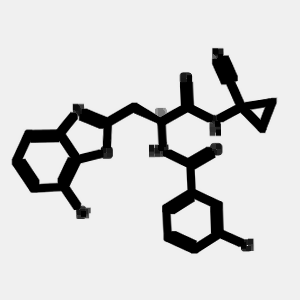 N#CC1(NC(=O)[C@H](Cc2nc3cccc(Br)c3o2)NC(=O)c2cccc(Cl)c2)CC1